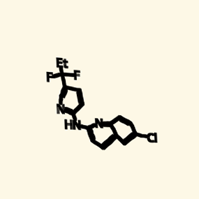 CCC(F)(F)c1ccc(Nc2ccc3cc(Cl)ccc3n2)nc1